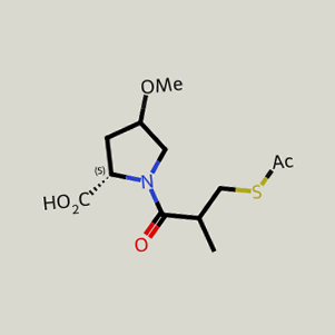 COC1C[C@@H](C(=O)O)N(C(=O)C(C)CSC(C)=O)C1